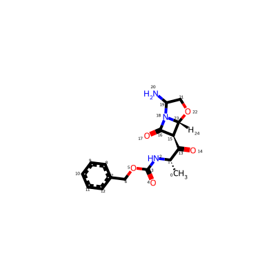 C[C@H](NC(=O)OCc1ccccc1)C(=O)[C@H]1C(=O)N2C(N)CO[C@H]12